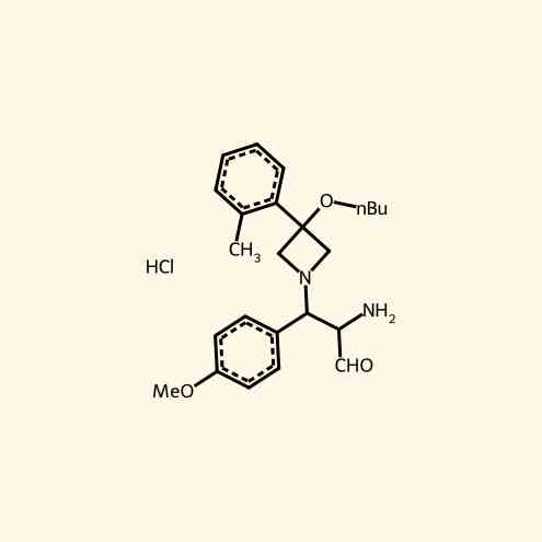 CCCCOC1(c2ccccc2C)CN(C(c2ccc(OC)cc2)C(N)C=O)C1.Cl